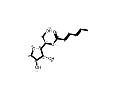 CC=CC=CC(=O)O[C@H](CO)[C@H]1OC[C@H](O)[C@H]1O